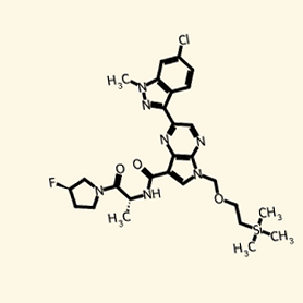 C[C@@H](NC(=O)c1cn(COCC[Si](C)(C)C)c2ncc(-c3nn(C)c4cc(Cl)ccc34)nc12)C(=O)N1CC[C@@H](F)C1